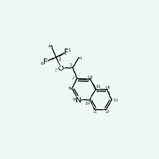 CC(OC(C)(F)F)c1cnc2ccccc2c1